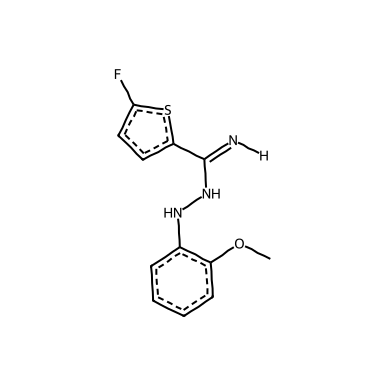 [H]/N=C(\NNc1ccccc1OC)c1ccc(F)s1